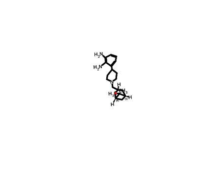 CC1(C)[C@@H]2C[C@@H](CN3CCC(c4cccc(N)c4N)CC3)C[C@H]1C2